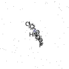 O=C(/C=C/c1ccc(Cl)cc1)Nc1ccc(OCCF)cc1